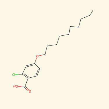 CCCCCCCCCCOc1ccc(C(=O)O)c(Cl)c1